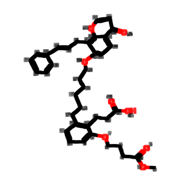 COC(=O)CCCOc1cccc(CCCCCCOc2ccc3c(=O)ccoc3c2CC=Cc2ccccc2)c1CCC(=O)O